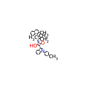 C=C(/C=C1\C(=O)C(c2cn(-c3ccc(C)cc3)c3ccccc23)=C1O)C(C)(C)c1c(C)ccc2ccccc12